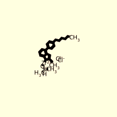 CCCCCCc1ccc(-c2cccc3c2C=C(CC)[CH]3[Zr+2][O][SiH](C)C)cc1.[Cl-].[Cl-]